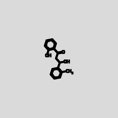 Cc1ccccc1C(O)CC(=O)c1ccccc1O